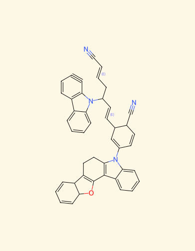 N#C/C=C/CC(/C=C/C1C=C(n2c3c(c4ccccc42)C2=C(CC3)C3C=CC=CC3O2)C=CC1C#N)n1c2c#cccc2c2ccccc21